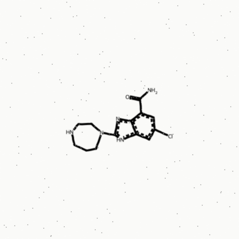 NC(=O)c1cc(Cl)cc2[nH]c(N3CCCNCC3)nc12